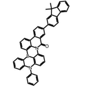 CC1(C)c2ccccc2-c2ccc(-c3ccc4c(c3)c(=O)n3c5c(cccc45)B4c5ccccc5N(c5ccccc5)c5cccc-3c54)cc21